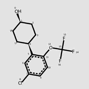 O[C@H]1CC[C@@H](c2cc(Cl)ccc2OC(F)(F)F)CC1